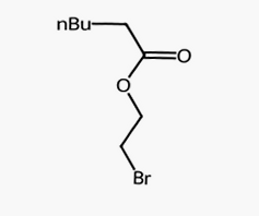 CCCCCC(=O)OCCBr